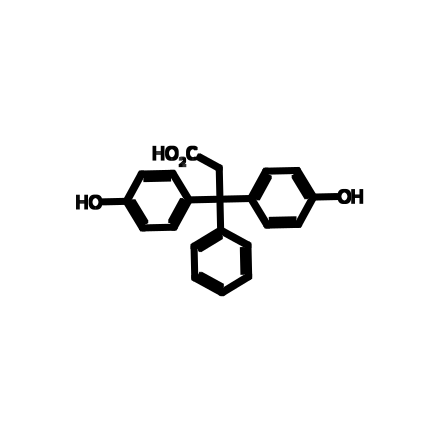 O=C(O)CC(c1ccccc1)(c1ccc(O)cc1)c1ccc(O)cc1